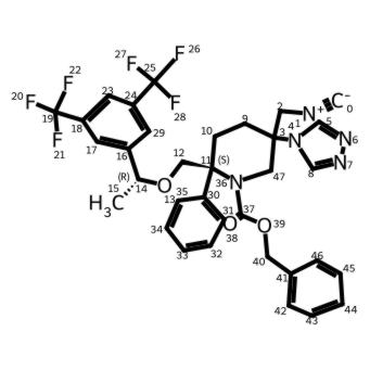 [C-]#[N+]CC1(n2cnnc2)CC[C@@](CO[C@H](C)c2cc(C(F)(F)F)cc(C(F)(F)F)c2)(c2ccccc2)N(C(=O)OCc2ccccc2)C1